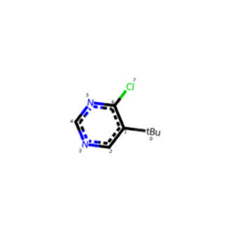 CC(C)(C)c1cncnc1Cl